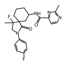 Cc1nccc(C(=O)NC2CCCC3(C2)C(=O)N(c2ccc(F)cc2)CC3(C)F)n1